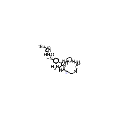 CC(C)(C)c1cc(NC(=O)Nc2ccc(-c3nc4n5c(cnc(N)c35)/C=C/CCOCCC(=O)N[C@@H]3CCC[C@@H]4C3)cc2)no1